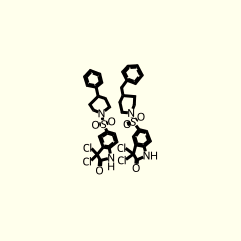 O=C1Nc2ccc(S(=O)(=O)N3CCC(Cc4ccccc4)CC3)cc2C1(Cl)Cl.O=C1Nc2ccc(S(=O)(=O)N3CCC(c4ccccc4)CC3)cc2C1(Cl)Cl